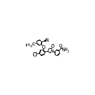 Cc1ccc(C#N)c(Oc2cc(Cl)ccc2C2CC(=O)N(c3cccc(C(N)=O)c3)C2)c1